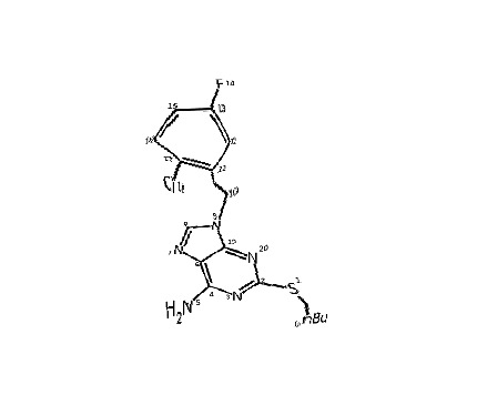 CCCCSc1nc(N)c2ncn(Cc3cc(F)ccc3Cl)c2n1